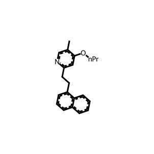 CCCOc1cc(CCc2cccc3ccccc23)ncc1C